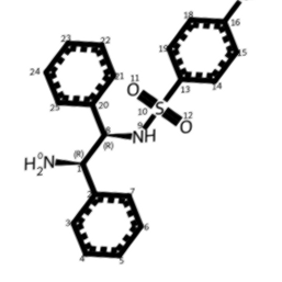 N[C@H](c1ccccc1)[C@H](NS(=O)(=O)c1ccc(Cl)cc1)c1ccccc1